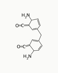 NC1C=CC(CC2=CC(=C=O)C(N)C=C2)=CC1=C=O